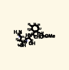 CBC(/N=C/C(CO)NC(C=O)C1=C(OCCOC)C=C=CC(C)[C@H]1C)[C@@H](C)/C=C/N